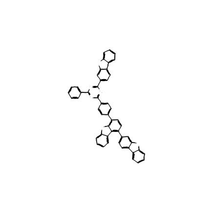 c1ccc(-c2nc(-c3ccc(-c4ccc(-c5ccc6c(c5)oc5ccccc56)c5c4oc4ccccc45)cc3)nc(-c3ccc4c(c3)oc3ccccc34)n2)cc1